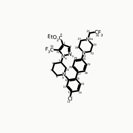 CCOC(=O)c1cnn(C2CCCN(c3cc(Cl)ccc3-c3ccc(N4CCN(CC(F)(F)F)CC4)cc3)C2)c1C(F)(F)F